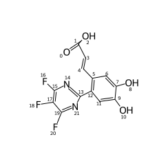 O=C(O)/C=C/c1cc(O)c(O)cc1-c1nc(F)c(F)c(F)n1